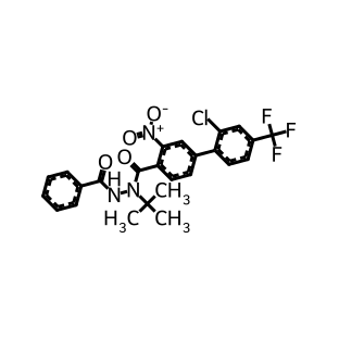 CC(C)(C)N(NC(=O)c1ccccc1)C(=O)c1ccc(-c2ccc(C(F)(F)F)cc2Cl)cc1[N+](=O)[O-]